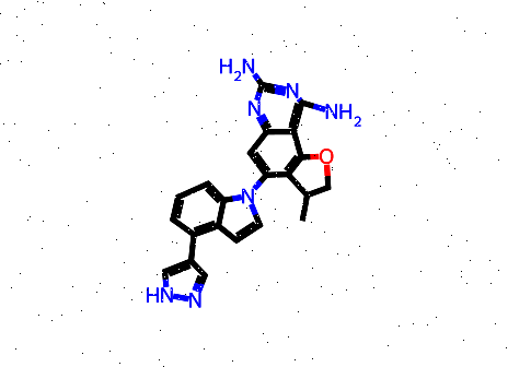 CC1COc2c1c(-n1ccc3c(-c4cn[nH]c4)cccc31)cc1nc(N)nc(N)c21